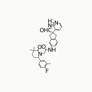 Cc1cc(C2CCC(C)(C)C(=O)N2CC(=O)Nc2ccc3c(c2)CC(C=O)(c2cccnc2N)C3)ccc1F